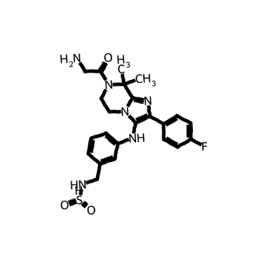 CC1(C)c2nc(-c3ccc(F)cc3)c(Nc3cccc(CN[SH](=O)=O)c3)n2CCN1C(=O)CN